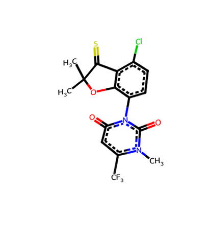 Cn1c(C(F)(F)F)cc(=O)n(-c2ccc(Cl)c3c2OC(C)(C)C3=S)c1=O